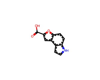 O=C(O)c1cc2c(ccc3[nH]ccc32)o1